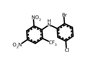 O=[N+]([O-])c1cc([N+](=O)[O-])c(Nc2cc(Cl)ccc2Br)c(C(F)(F)F)c1